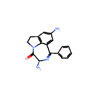 Nc1cc2c3c(c1)C(c1ccccc1)=N[C@@H](N)C(=O)N3CC2